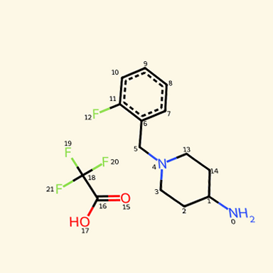 NC1CCN(Cc2ccccc2F)CC1.O=C(O)C(F)(F)F